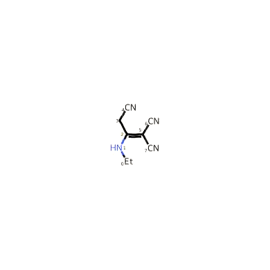 CCNC(CC#N)=C(C#N)C#N